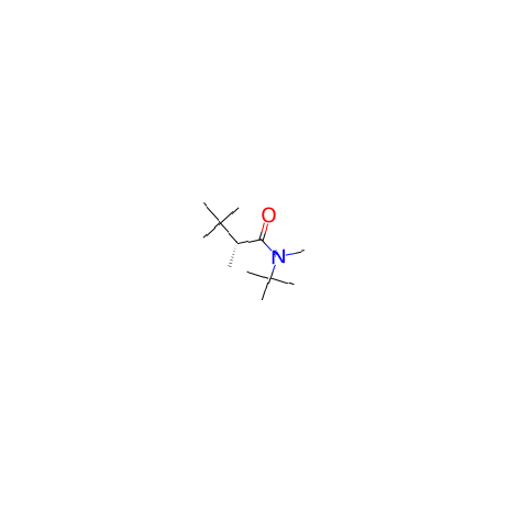 C[C@@H](C(=O)N(C)C(C)(C)C)C(C)(C)C